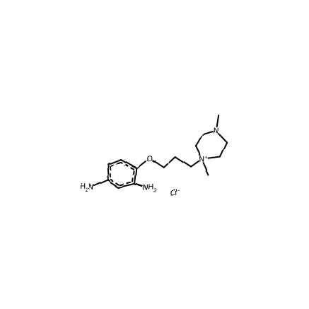 CN1CC[N+](C)(CCCOc2ccc(N)cc2N)CC1.[Cl-]